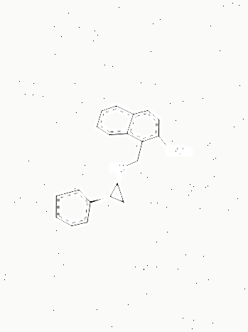 COc1ccc2ccccc2c1CN[C@@H]1C[C@H]1c1ccccc1